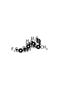 Cc1ccc(Nc2ncc(C)c(Nc3ccc(NC(=O)Nc4ccc(OC(F)(F)F)cc4)cc3)n2)cc1CN1CCN(C)CC1